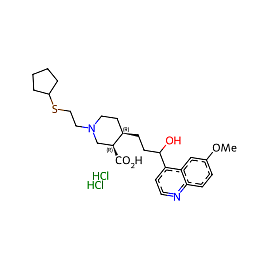 COc1ccc2nccc(C(O)CC[C@@H]3CCN(CCSC4CCCC4)C[C@@H]3C(=O)O)c2c1.Cl.Cl